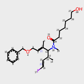 C/C(=C\COCc1ccccc1)C([C@@H](C)/C=C/I)N(C)C(=O)CCCCCCO